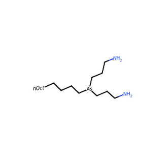 CCCCCCCCCCCC[As](CCCN)CCCN